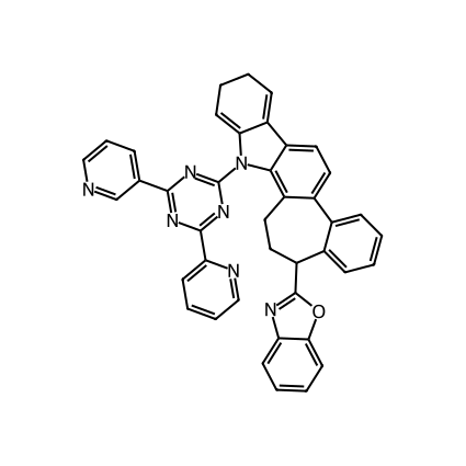 C1=c2c(n(-c3nc(-c4cccnc4)nc(-c4ccccn4)n3)c3c4c(ccc23)-c2ccccc2C(c2nc3ccccc3o2)CC4)=CCC1